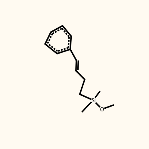 CO[Si](C)(C)CCC=Cc1ccccc1